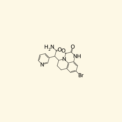 NC(=O)C(c1cccnc1)C1CCc2cc(Br)cc3[nH]c(=O)c(=O)n1c23